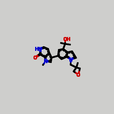 Cn1cc(-c2cc(C(C)(C)O)c3ccn(CC4(C)COC4)c3c2)c2cc[nH]c(=O)c21